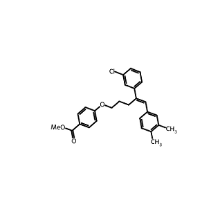 COC(=O)c1ccc(OCCC/C(=C\c2ccc(C)c(C)c2)c2cccc(Cl)c2)cc1